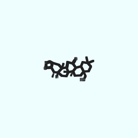 C[C@@H]1c2oncc2C[C@]2(C)C3=CC(=O)C4C5CC(C)(C)CC[C@]5(CO)CC[C@@]4(C)[C@]3(C)CC[C@@H]12